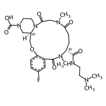 CN(C)CCNC(=O)[C@H]1CCC(=O)N(C)CC(=O)N2CCN(C(=O)O)C[C@@H]2COc2ccc(F)cc2C(=O)N1C